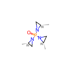 C[C@H]1CN1P(=O)(N1C[C@@H]1C)N1C[C@@H]1C